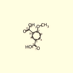 COc1ccc(C(=O)O)cc1C(=O)O